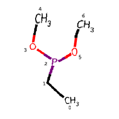 CCP(OC)OC